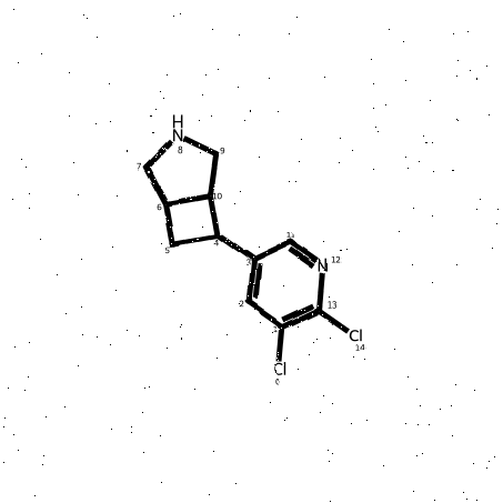 Clc1cc(C2CC3CNCC32)cnc1Cl